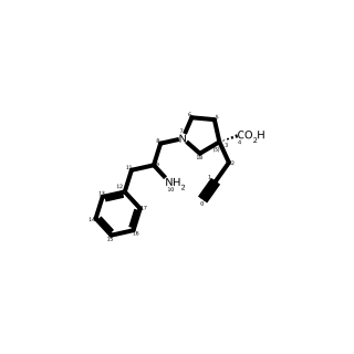 C#CC[C@]1(C(=O)O)CCN(CC(N)Cc2ccccc2)C1